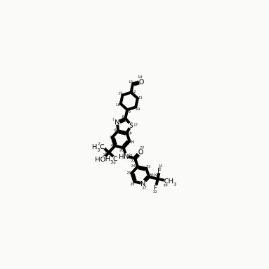 CC(C)(O)c1cc2nc(C3CCC(C=O)CC3)sc2cc1NC(=O)c1ccnc(C(C)(F)F)c1